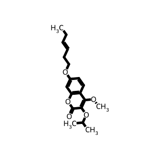 CC/C=C/CCOc1ccc2c(OC)c(OC(C)C)c(=O)oc2c1